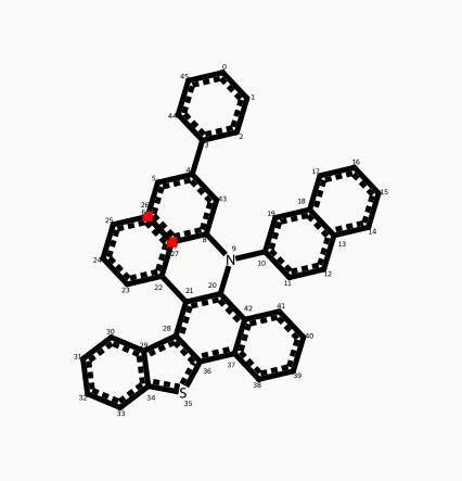 c1ccc(-c2cccc(N(c3ccc4ccccc4c3)c3c(-c4ccccc4)c4c5ccccc5sc4c4ccccc34)c2)cc1